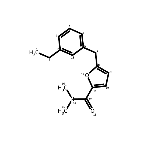 CCc1cccc(Cc2ccc(C(=O)N(C)C)o2)c1